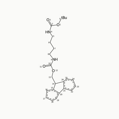 CC(C)(C)OC(=O)NCCCCNC(=O)OCC1c2ccccc2-c2ccccc21